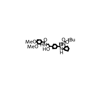 COc1ccc(C(=O)NCC(O)c2ccc(C(=O)Nc3ccccc3NC(=O)OC(C)(C)C)cc2)cc1OC